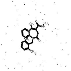 CNC(=O)C1=C(O)c2ccccc2N(Cc2c(C)cccc2C)C(=O)C1